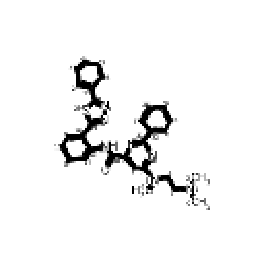 CN(C)CCN(C)c1cc(C(=O)Nc2ccccc2-c2nnc(-c3ccccc3)s2)nc(-c2ccccc2)n1